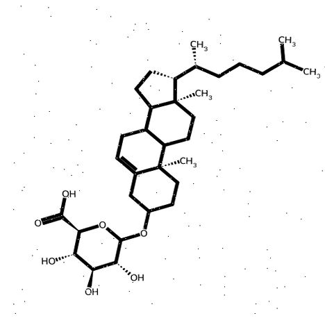 CC(C)CCC[C@@H](C)[C@H]1CCC2C3CC=C4CC(OC5O[C@H](C(=O)O)[C@@H](O)[C@H](O)[C@H]5O)CC[C@]4(C)C3CC[C@@]21C